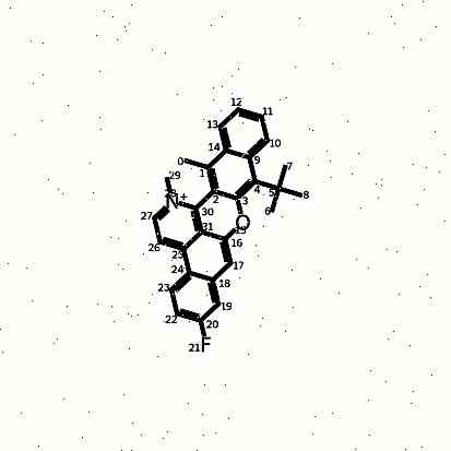 Cc1c2c(c(C(C)(C)C)c3ccccc13)Oc1cc3cc(F)ccc3c3cc[n+](C)c-2c13